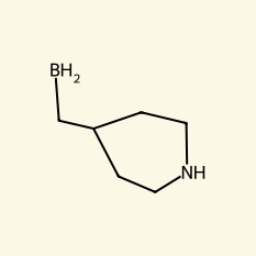 BCC1CCNCC1